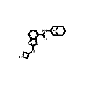 CN1C2CCCC1CC(NC(=O)c1cccc3oc(NC4CNC4)nc13)C2